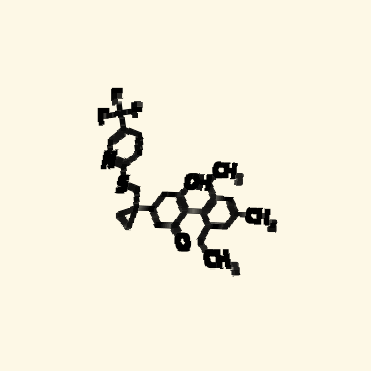 CCc1cc(C)cc(CC)c1C1=C(O)CC(C2(CSc3ccc(C(F)(F)F)cn3)CC2)CC1=O